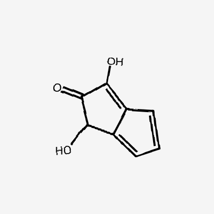 O=C1C(O)=C2C=CC=C2C1O